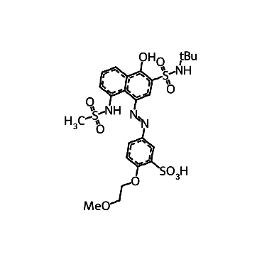 COCCOc1ccc(/N=N/c2cc(S(=O)(=O)NC(C)(C)C)c(O)c3cccc(NS(C)(=O)=O)c23)cc1S(=O)(=O)O